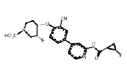 N#Cc1cc(-c2ccnc(NC(=O)[C@H]3C[C@H]3F)c2)ccc1O[C@H]1CCN(C(=O)O)C[C@H]1F